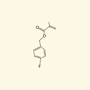 C=C(C)C(=O)OCc1ccc(F)cc1